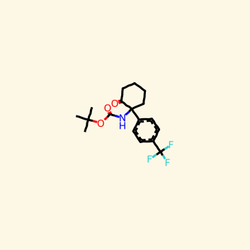 CC(C)(C)OC(=O)NC1(c2ccc(C(F)(F)F)cc2)CCCCC1=O